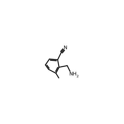 Cc1cccc(C#N)c1CN